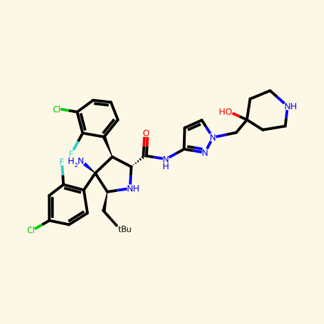 CC(C)(C)C[C@@H]1N[C@@H](C(=O)Nc2ccn(CC3(O)CCNCC3)n2)[C@H](c2cccc(Cl)c2F)[C@@]1(N)c1ccc(Cl)cc1F